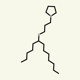 CCCCCCCC(CCCCC)OCCCN1CCCC1